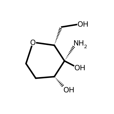 N[C@]1(O)[C@H](O)CCO[C@@H]1CO